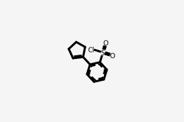 O=S(=O)(Cl)c1ccccc1C1=CCCC1